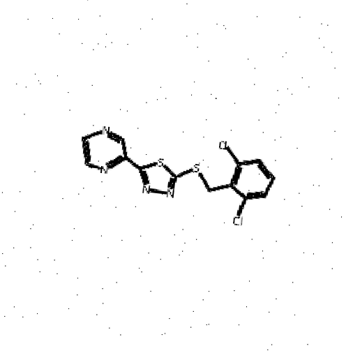 Clc1cccc(Cl)c1CSc1nnc(-c2cnccn2)s1